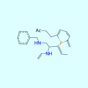 C=CNC(CNCc1ccccc1)/C(=C/C)P1C(=C)C=CC=C1CCC(C)=O